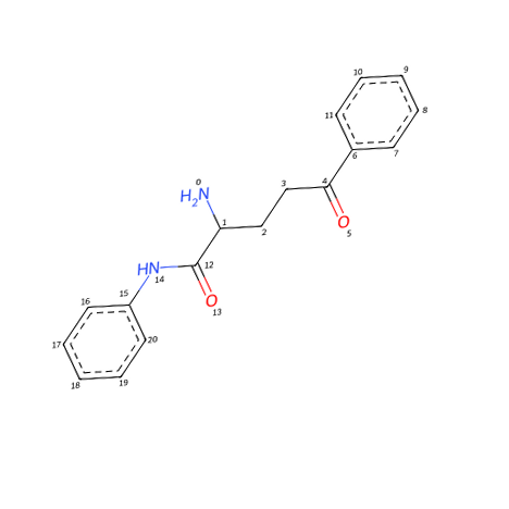 NC(CCC(=O)c1ccccc1)C(=O)Nc1ccccc1